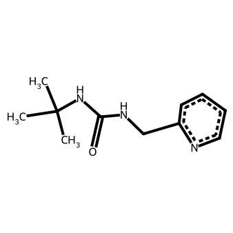 CC(C)(C)NC(=O)NCc1ccccn1